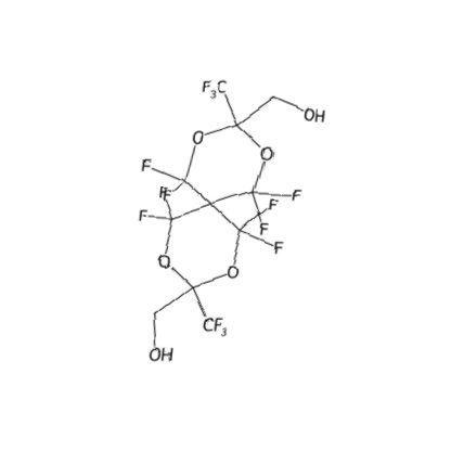 OCC1(C(F)(F)F)OC(F)(F)C2(C(F)(F)O1)C(F)(F)OC(CO)(C(F)(F)F)OC2(F)F